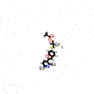 C=C(C)C(=O)OCC(C)(CSc1ccc2cc(-c3ccc(CC)nc3CC)oc2c1)C(F)(F)F